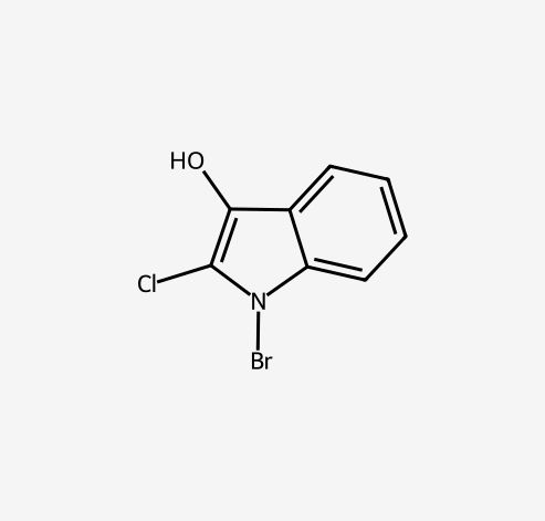 Oc1c(Cl)n(Br)c2ccccc12